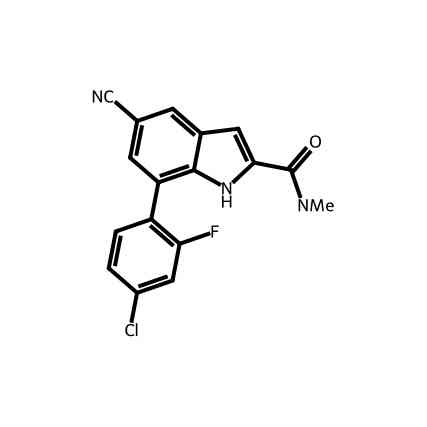 CNC(=O)c1cc2cc(C#N)cc(-c3ccc(Cl)cc3F)c2[nH]1